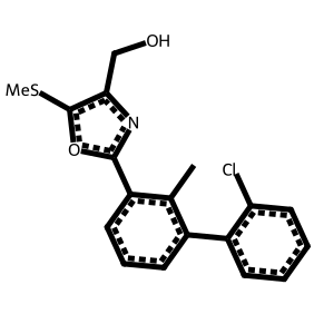 CSc1oc(-c2cccc(-c3ccccc3Cl)c2C)nc1CO